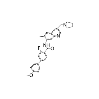 COc1ccc(-c2ccc(C(=O)Nc3cc4ncc(CN5CCCC5)cc4cc3C)c(F)c2)cc1